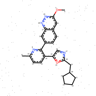 COc1cc2ccc(-c3nc(C)ccc3-c3cnc(CC4CCCC4)o3)cc2nn1